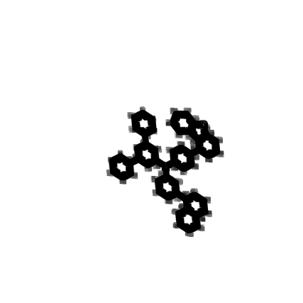 c1ccc(-c2cc(-c3ccccc3)cc(N(c3ccc(-c4cccc5oc6ccccc6c45)cc3)c3cccc(-c4cccc5ccccc45)c3)c2)cc1